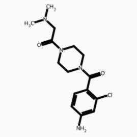 CN(C)CC(=O)N1CCN(C(=O)c2ccc(N)cc2Cl)CC1